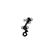 CCC(C)(SC1CC(=O)N(CCCCCC(=O)NC(C=O)C(C)C)C1=O)C1CCCCCCCC1